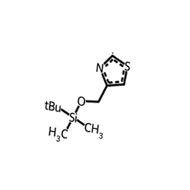 CC(C)(C)[Si](C)(C)OCc1cs[c]n1